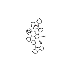 N#Cc1c(C#N)c(-c2cccc(-n3c4ccccc4c4ccccc43)c2)c(-n2c3ccccc3c3ccccc32)c(-n2c3ccccc3c3ccccc32)c1-c1cccc(-n2c3ccccc3c3ccccc32)c1